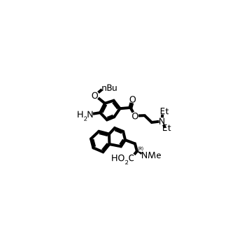 CCCCOc1cc(C(=O)OCCN(CC)CC)ccc1N.CN[C@H](Cc1ccc2ccccc2c1)C(=O)O